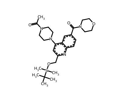 CC(=O)N1CCN(c2cc(CO[Si](C)(C)C(C)(C)C)nc3ccc(C(=O)N4CCOCC4)cc23)CC1